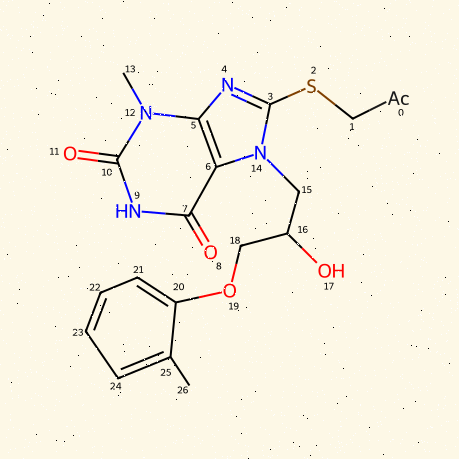 CC(=O)CSc1nc2c(c(=O)[nH]c(=O)n2C)n1CC(O)COc1ccccc1C